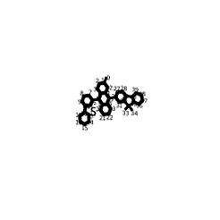 Cc1ccc2c(-c3cccc4c3sc3ccccc34)c3ccccc3c(-c3ccc4c(c3)C(C)(C)c3ccccc3-4)c2c1